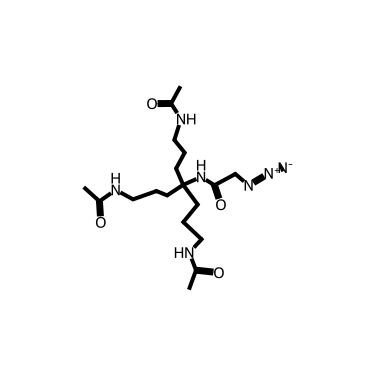 CC(=O)NCCCC(CCCNC(C)=O)(CCCNC(C)=O)NC(=O)CN=[N+]=[N-]